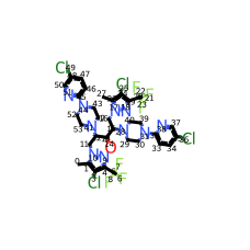 Cc1c(Cl)c(C(F)(F)F)nn1CC(C(=O)C(Cn1nc(C(F)(F)F)c(Cl)c1C)N1CCN(c2ccc(Cl)cn2)CC1)N1CCN(c2ccc(Cl)cn2)CC1